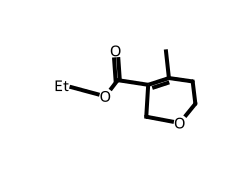 CCOC(=O)C1=C(C)CCOC1